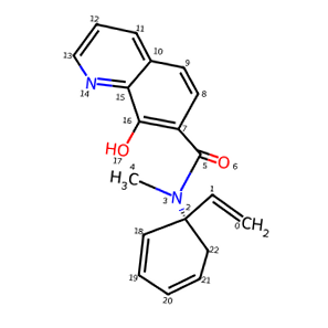 C=C[C@]1(N(C)C(=O)c2ccc3cccnc3c2O)C=CC=CC1